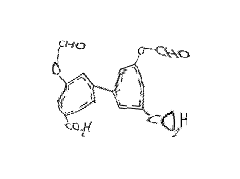 O=COc1cc(C(=O)O)cc(-c2cc(OC=O)cc(C(=O)O)c2)c1